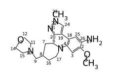 COc1cc(N2CCC(CN3CCOCC3)CC2)c(-c2cnn(C)c2)cc1N